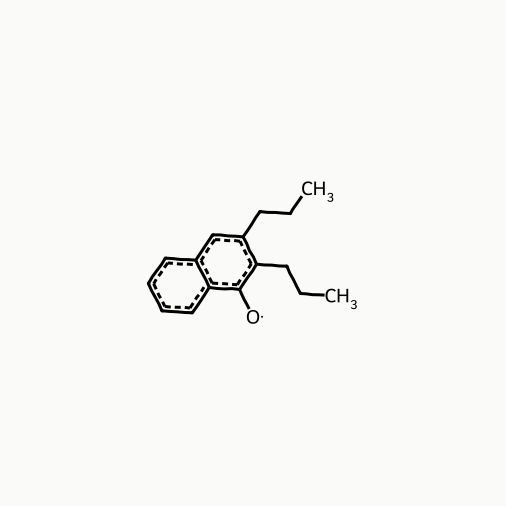 CCCc1cc2ccccc2c([O])c1CCC